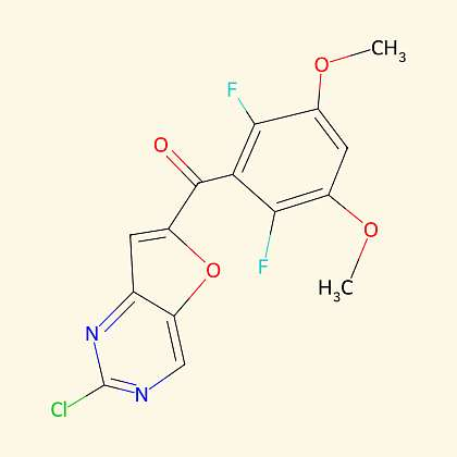 COc1cc(OC)c(F)c(C(=O)c2cc3nc(Cl)ncc3o2)c1F